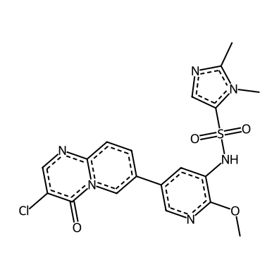 COc1ncc(-c2ccc3ncc(Cl)c(=O)n3c2)cc1NS(=O)(=O)c1cnc(C)n1C